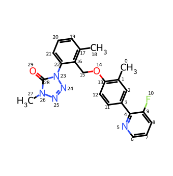 Cc1cc(-c2ncccc2F)ccc1OCc1c(C)cccc1-n1nnn(C)c1=O